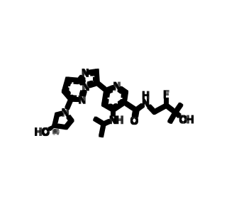 CC(C)Nc1cc(-c2cnc3ccc(N4CC[C@@H](O)C4)nn23)ncc1C(=O)NCC(F)C(C)(C)O